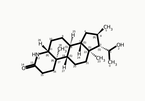 CC(O)[C@H]1[C@H](C)C[C@H]2[C@@H]3CC[C@H]4NC(=O)CC[C@]4(C)[C@H]3CC[C@@]21C